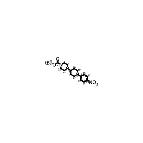 CC(C)(C)OC(=O)N1CCN(C2CCN(c3ccc([N+](=O)[O-])cc3)CC2)CC1